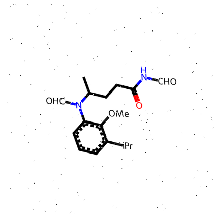 COc1c(C(C)C)cccc1N(C=O)C(C)CCC(=O)NC=O